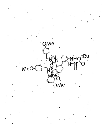 COc1ccc(CN(Cc2ccc(OC)cc2)S(=O)(=O)c2c(S(=O)O)ccc(-c3cccc4[nH]c(NC(=O)OC(C)(C)C)nc34)c2-c2nnn(Cc3ccc(OC)cc3)n2)cc1